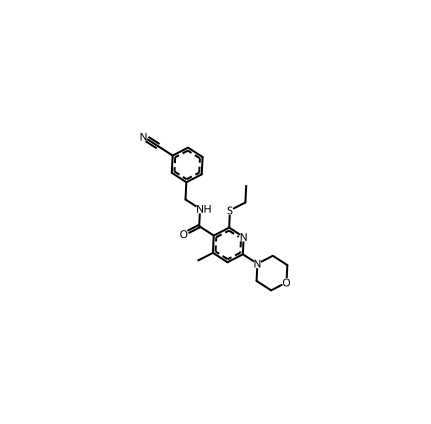 CCSc1nc(N2CCOCC2)cc(C)c1C(=O)NCc1cccc(C#N)c1